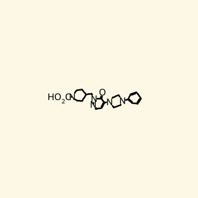 O=C(O)N1CCC(Cn2nccc(N3CCN(c4ccccc4)CC3)c2=O)CC1